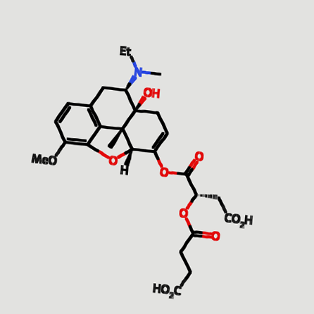 CCN(C)[C@@H]1Cc2ccc(OC)c3c2[C@@]2(C)[C@@H](O3)C(OC(=O)[C@H](CC(=O)O)OC(=O)CCC(=O)O)=CC[C@@]12O